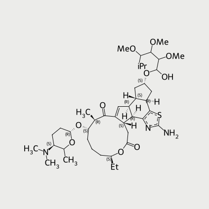 CC[C@H]1CCC[C@H](O[C@H]2CC[C@H](N(C)C)C(C)O2)[C@@H](C)C(=O)C2=C[C@H]3[C@@H]4C[C@H](OC(O)C(OC)C(OC)C(OC)C(C)C)C[C@H]4c4sc(N)nc4[C@H]3[C@@H]2CC(=O)O1